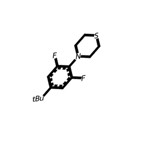 CC(C)(C)c1cc(F)c(N2CCSCC2)c(F)c1